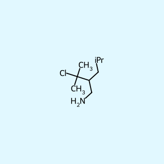 CC(C)CC(CN)C(C)(C)Cl